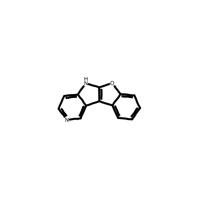 c1ccc2c(c1)oc1[nH]c3ccncc3c12